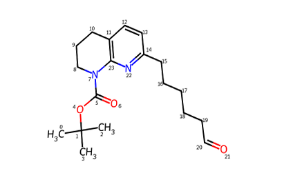 CC(C)(C)OC(=O)N1CCCc2ccc(CCCCCC=O)nc21